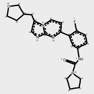 O=C(Nc1ccc(F)c(-c2ccn3c(CC4CCOC4)cnc3n2)c1)N1CCCC1